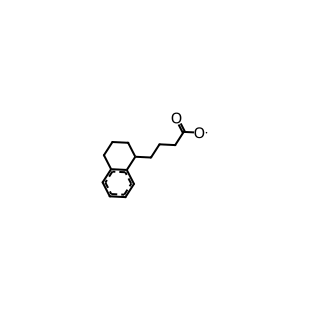 [O]C(=O)CCCC1CCCc2ccccc21